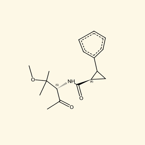 COC(C)(C)[C@H](NC(=O)[C@@H]1CC1c1ccccc1)C(C)=O